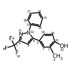 Cc1cc(-c2cc(C(F)(F)F)nn2-c2ccccc2)ccc1O